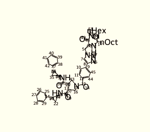 CCCCCCCCC(=O)N[C@@H](Cn1cc(-c2ccc(C(=O)N3C[C@@H](C(=O)N[C@H]4C[C@@H]4c4ccccc4)[C@H](C(=O)N[C@H]4C[C@@H]4c4ccccc4)C3)cc2)nn1)C(=O)NCCCCCC